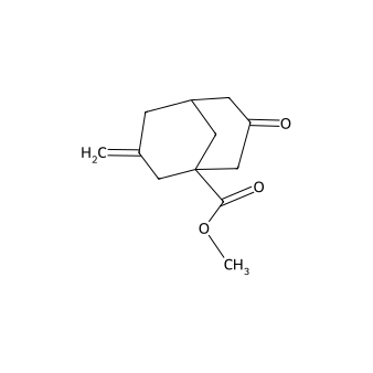 C=C1CC2CC(=O)CC(C(=O)OC)(C1)C2